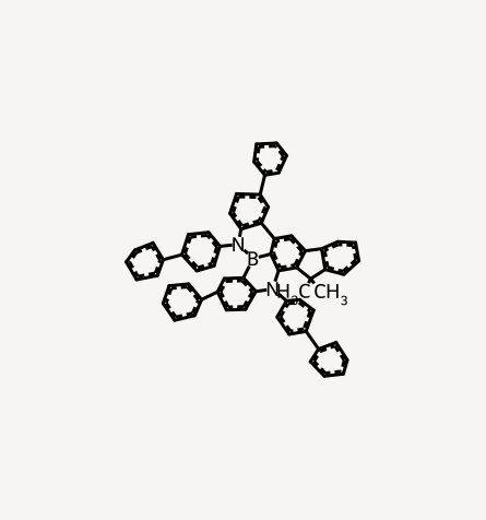 CC1(C)c2ccccc2-c2cc3c4c(c21)N(c1ccc(-c2ccccc2)cc1)c1ccc(-c2ccccc2)cc1B4N(c1ccc(-c2ccccc2)cc1)c1ccc(-c2ccccc2)cc1-3